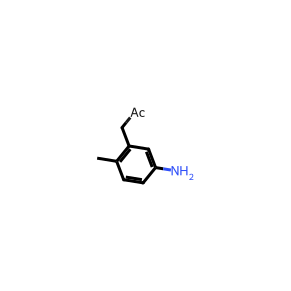 CC(=O)Cc1cc(N)ccc1C